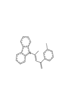 C=C(/C=C(\C)n1c2ccccc2c2ccccc21)c1cccc(C)c1